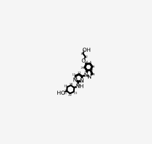 OCCOc1ccc2cnn(-c3ccnc(NC4CCC(O)CC4)n3)c2c1